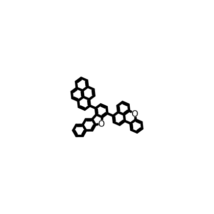 c1ccc2c(c1)Oc1cccc3c(-c4ccc(-c5ccc6ccc7cccc8ccc5c6c78)c5c4oc4cc6ccccc6cc45)ccc-2c13